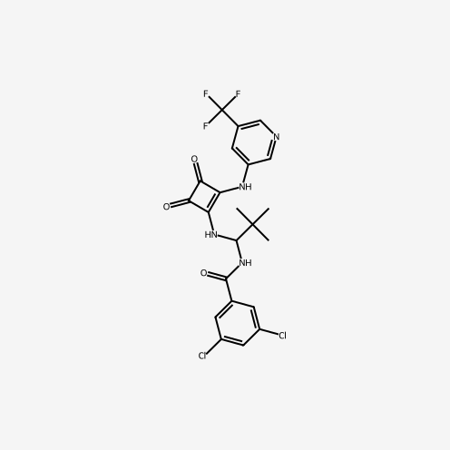 CC(C)(C)C(NC(=O)c1cc(Cl)cc(Cl)c1)Nc1c(Nc2cncc(C(F)(F)F)c2)c(=O)c1=O